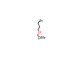 COCOCCCC(C)C